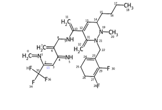 C=N/C(=C\C(=N)C(=C)CNC(=C)C1=CC(CCCC)N(C)N(CC2=CCCC(F)=C2F)C1=C)C(F)(F)F